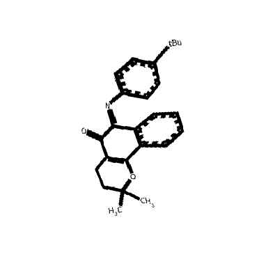 CC1(C)CCC2=C(O1)c1ccccc1/C(=N\c1ccc(C(C)(C)C)cc1)C2=O